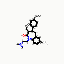 COCC1C(=O)N(CCN(C)C)c2ccc(C(F)(F)F)cc2CC1c1ccc(OC)cc1